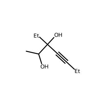 [CH2]CC#CC(O)(CC)C(C)O